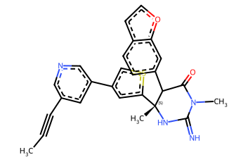 CC#Cc1cncc(-c2csc([C@@]3(C)NC(=N)N(C)C(=O)C3c3ccc4ccoc4c3)c2)c1